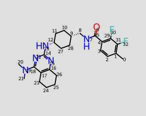 Cc1ccc(C(=O)NC[C@H]2CC[C@@H](Nc3nc4c(c(N(C)C)n3)CCCC4)CC2)c(F)c1F